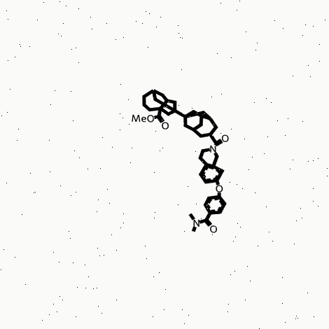 COC(=O)C12CCCC3CC1CC(C14CC5CC(C(=O)N6CCc7ccc(Oc8ccc(C(=O)N(C)C)cc8)cc7C6)CC(C1)C(C5)C4)(C3)C2